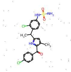 Cc1cc(C(C)c2ccc(NS(N)(=O)=O)cc2Cl)[nH]c1C(=O)c1ccc(Cl)cc1